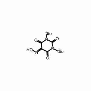 CC(C)(C)N1C(=O)C(=NO)C(=O)N(C(C)(C)C)C1=O